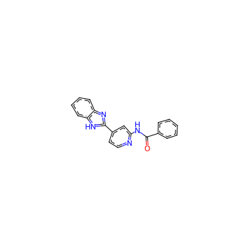 O=C(Nc1cc(-c2nc3ccccc3[nH]2)ccn1)c1ccccc1